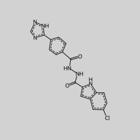 O=C(NNC(=O)c1cc2cc(Cl)ccc2[nH]1)c1ccc(-c2ncn[nH]2)cc1